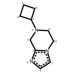 c1cn2c(n1)CN(C1CCC1)CC2